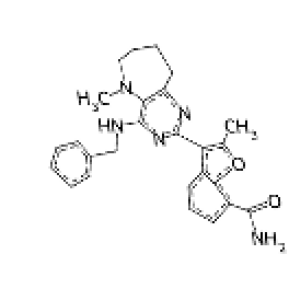 Cc1oc2c(C(N)=O)cccc2c1-c1nc2c(c(NCc3ccccc3)n1)N(C)CCCC2